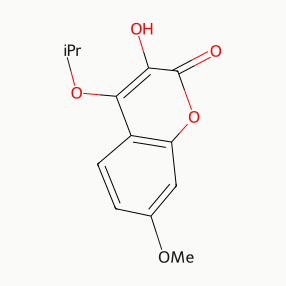 COc1ccc2c(OC(C)C)c(O)c(=O)oc2c1